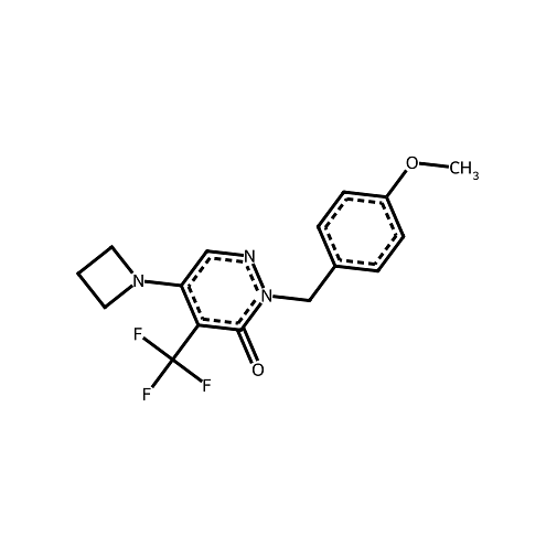 COc1ccc(Cn2ncc(N3CCC3)c(C(F)(F)F)c2=O)cc1